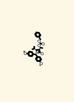 COc1ccc(C(c2ccc(OC)cc2)N2C(=O)[C@H](C(C)OC(=O)OCc3ccccc3)[C@@H]2C(C)C)cc1